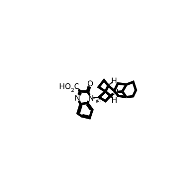 O=C(O)c1nc2ccccc2n([C@@H]2C[C@H]3N(C4C5CCCC4CCC5)[C@@H]4CCC432)c1=O